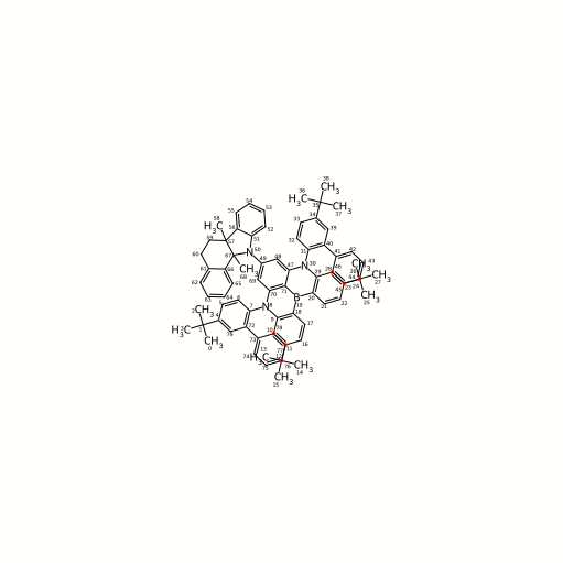 CC(C)(C)c1ccc(N2c3cc(C(C)(C)C)ccc3B3c4ccc(C(C)(C)C)cc4N(c4ccc(C(C)(C)C)cc4-c4ccccc4)c4cc(N5c6ccccc6C6(C)CCc7ccccc7C56C)cc2c43)c(-c2ccccc2)c1